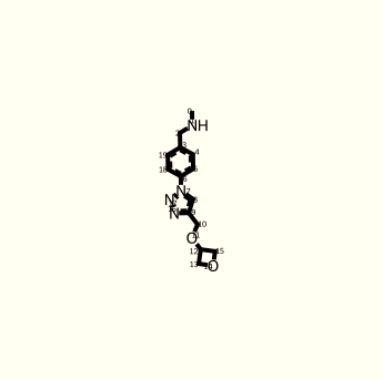 CNCc1ccc(-n2cc(COC3COC3)nn2)cc1